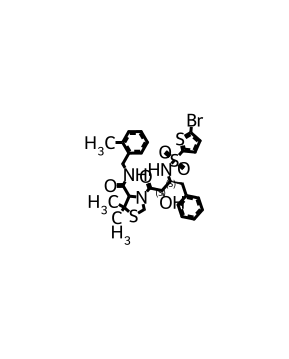 Cc1ccccc1CNC(=O)C1N(C(=O)[C@@H](O)[C@H](Cc2ccccc2)NS(=O)(=O)c2ccc(Br)s2)CSC1(C)C